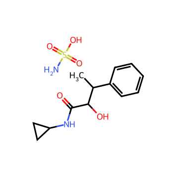 CC(c1ccccc1)C(O)C(=O)NC1CC1.NS(=O)(=O)O